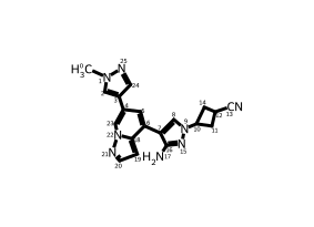 Cn1cc(-c2cc(-c3cn(C4CC(C#N)C4)nc3N)c3ccnn3c2)cn1